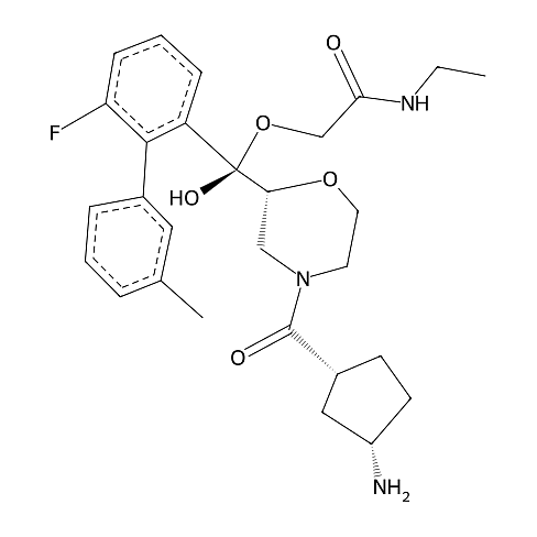 CCNC(=O)CO[C@@](O)(c1cccc(F)c1-c1cccc(C)c1)[C@H]1CN(C(=O)[C@@H]2CC[C@H](N)C2)CCO1